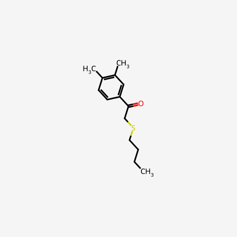 CCCCSCC(=O)c1ccc(C)c(C)c1